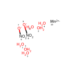 O.O.O.O.O.O.O=[N+]([O-])[O-].O=[N+]([O-])[O-].[Mn+2]